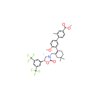 COC(=O)c1ccc(-c2ccc(OC)c(C3=C(CN4C(=O)O[C@@H](c5cc(C(F)(F)F)cc(C(F)(F)F)c5)[C@@H]4C)CC(C)(C)CC3)c2)c(C)c1